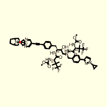 COC(=O)N[C@H](C(=O)N[C@@H](Cc1ccc(C#Cc2cnc(N3CC4CCC(C3)N4C3COC3)nc2)cc1)[C@@H](O)CN(Cc1ccc(-c2ccn(C3CC3)n2)cc1)NC(=O)[C@@H](NC(=O)OC)C(C)(C)C(F)(F)F)C(C)(C)C(F)(F)F